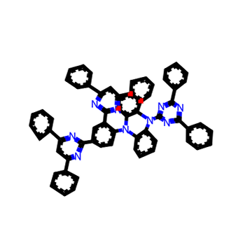 c1ccc(-c2cc(-c3ccccc3)nc(-c3ccc(N4c5ccccc5N(c5nc(-c6ccccc6)nc(-c6ccccc6)n5)c5ccccc54)c(-c4nc(-c5ccccc5)cc(-c5ccccc5)n4)c3)n2)cc1